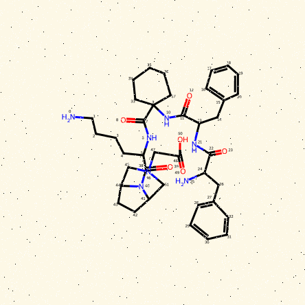 NCCCCC(NC(=O)C1(NC(=O)C(Cc2ccccc2)NC(=O)C(N)Cc2ccccc2)CCCCC1)C(=O)N1C2CCC1CN(CC(=O)O)C2